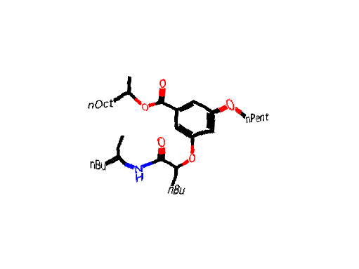 CCCCCCCCC(C)OC(=O)c1cc(OCCCCC)cc(OC(CCCC)C(=O)NC(C)CCCC)c1